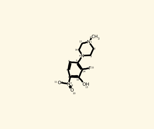 CN1CCN(c2ccc([N+](=O)[O-])c(O)c2F)CC1